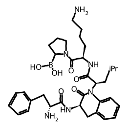 CC(C)C[C@H](C(=O)N[C@H](CCCCN)C(=O)N1CCCC1B(O)O)N1C(=O)[C@H](NC(=O)[C@H](N)Cc2ccccc2)Cc2ccccc21